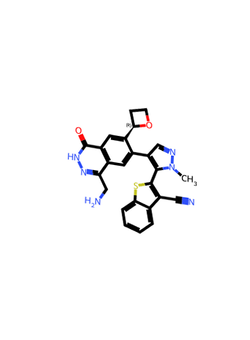 Cn1ncc(-c2cc3c(CN)n[nH]c(=O)c3cc2[C@H]2CCO2)c1-c1sc2ccccc2c1C#N